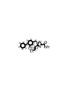 CCC=Cc1nc(C(=O)CCC)nn1Cc1ccc(-c2ccccc2)c(C(=O)O)c1